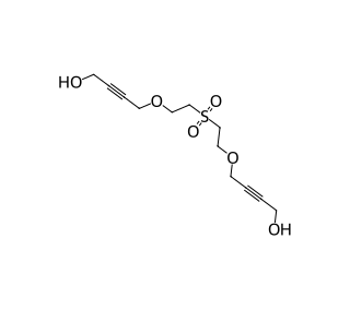 O=S(=O)(CCOCC#CCO)CCOCC#CCO